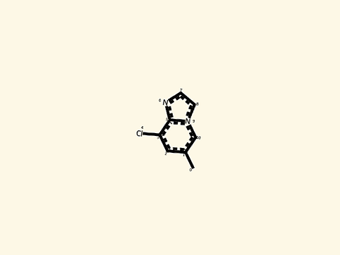 Cc1cc(Cl)c2nccn2c1